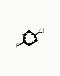 Fc1[c]cc(Cl)c[c]1